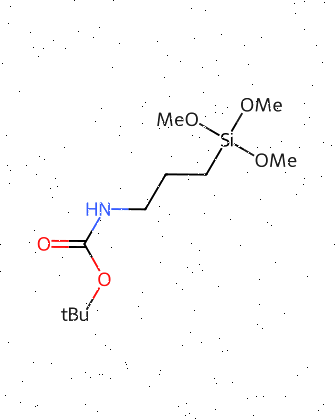 CO[Si](CCCNC(=O)OC(C)(C)C)(OC)OC